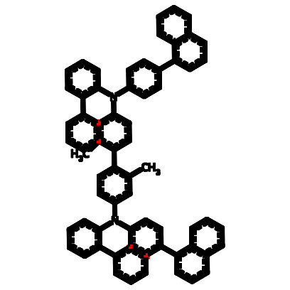 Cc1cc(N(c2ccc(-c3cccc4ccccc34)cc2)c2ccccc2-c2ccccc2)ccc1-c1ccc(N(c2ccc(-c3cccc4ccccc34)cc2)c2ccccc2-c2ccccc2)cc1C